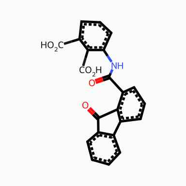 O=C(O)c1cccc(NC(=O)c2cccc3c2C(=O)c2ccccc2-3)c1C(=O)O